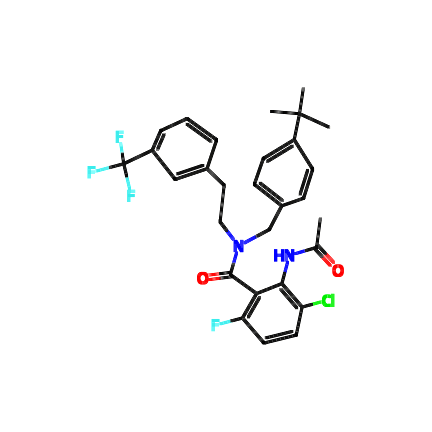 CC(=O)Nc1c(Cl)ccc(F)c1C(=O)N(CCc1cccc(C(F)(F)F)c1)Cc1ccc(C(C)(C)C)cc1